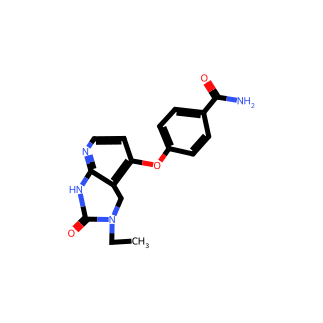 CCN1Cc2c(Oc3ccc(C(N)=O)cc3)ccnc2NC1=O